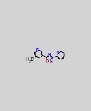 Bc1cncc(-c2nc(-c3ccccn3)no2)c1